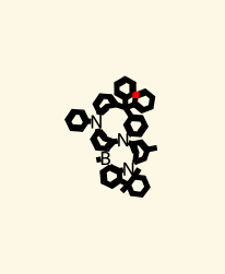 CB1c2ccc3cc2N(C2=CC(CC(C)=C2)N2c4c1cccc4C1(C)CCCCC21C)c1cccc(c1)C(C1=CCCC=C1)(c1ccccc1)c1cccc(c1)N3c1ccccc1